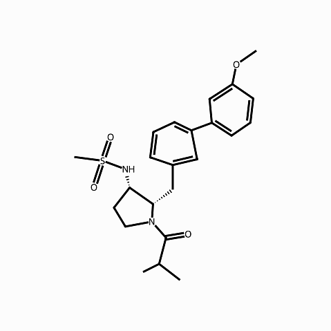 COc1cccc(-c2cccc(C[C@H]3[C@@H](NS(C)(=O)=O)CCN3C(=O)C(C)C)c2)c1